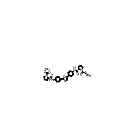 CC(C)(C)OC(=O)N1CCC[C@H]1C(=O)Nc1ccc(-c2cnc(-c3ccc(NC(=O)[C@@H]4CCCN4C(=O)OC(C)(C)C)cc3)o2)cc1